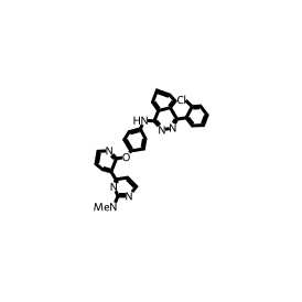 CNc1nccc(-c2cccnc2Oc2ccc(Nc3nnc(-c4ccccc4Cl)c4ccccc34)cc2)n1